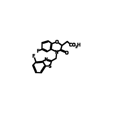 O=C(O)CC1Oc2ccc(F)cc2N(Cc2nc3c(F)cccc3s2)C1=O